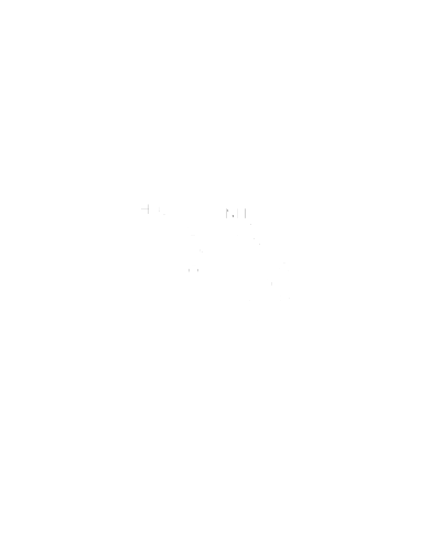 CCOC(=O)c1c(N)sc2c1-c1ccccc1S2(=O)=O